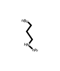 CCCCCCCNCCC